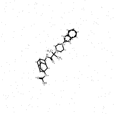 CC(C)(C(=O)NC1C2CC3CC1CC(OC(=O)O)(C3)C2)N1CCN(c2nc3ccccc3s2)CC1